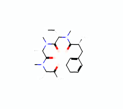 CNC(=O)[C@H](C(C)C)N(C)C(=O)[C@H](C)N(C)C(=O)[C@H](CC(C)C)N(C)C(=O)[C@H](CC1=CCCC=C1)NC